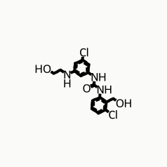 O=C(Nc1cc(Cl)cc(NCCO)c1)Nc1cccc(Cl)c1CO